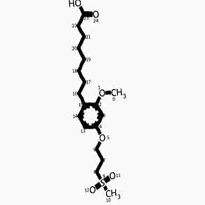 COc1cc(OCCCS(C)(=O)=O)ccc1CCCCCCCC(=O)O